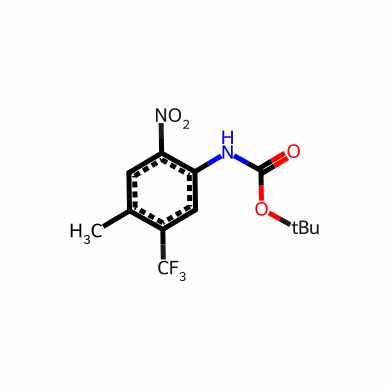 Cc1cc([N+](=O)[O-])c(NC(=O)OC(C)(C)C)cc1C(F)(F)F